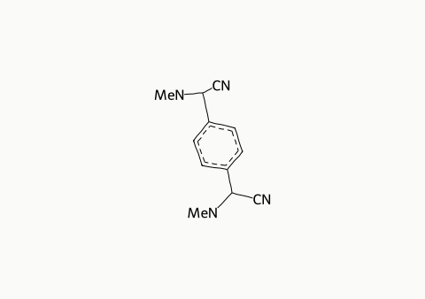 CNC(C#N)c1ccc(C(C#N)NC)cc1